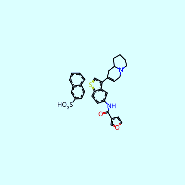 O=C(Nc1ccc2scc(C3=CCN4CCCCC4C3)c2c1)c1ccoc1.O=S(=O)(O)c1ccc2ccccc2c1